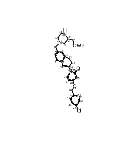 COC[C@H]1CN(Cc2ccc3c(c2)CCC(n2ccc(OCc4ccc(Cl)cn4)cc2=O)=C3)CCN1